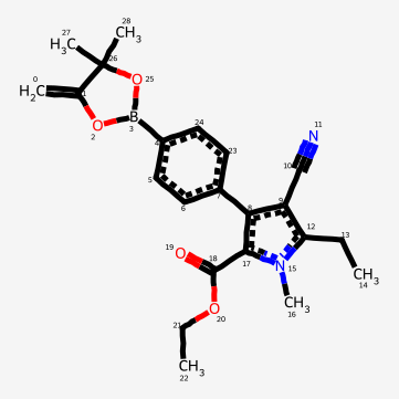 C=C1OB(c2ccc(-c3c(C#N)c(CC)n(C)c3C(=O)OCC)cc2)OC1(C)C